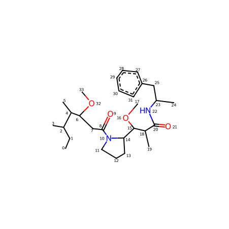 CCC(C)C(C)C(CC(=O)N1CCCC1C(OC)C(C)C(=O)NC(C)Cc1ccccc1)OC